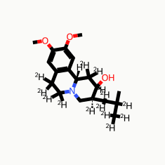 [2H]C([2H])([2H])C([2H])(C)C([2H])([2H])[C@@]1([2H])CN2[C@H](c3cc(OC)c(OC)cc3C([2H])([2H])C2([2H])[2H])C([2H])([2H])[C@@]1([2H])O